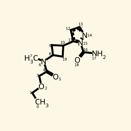 CCOCC(=O)N(C)C1CC(c2c[c]nn2C(N)=O)C1